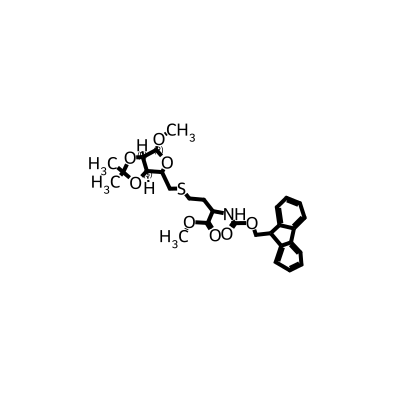 COC(=O)C(CCSCC1O[C@@H](OC)[C@@H]2OC(C)(C)O[C@H]12)NC(=O)OCC1c2ccccc2-c2ccccc21